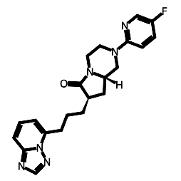 O=C1[C@H](CCCc2cccc3ncnn23)C[C@H]2CN(c3ccc(F)cn3)CCN12